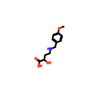 COc1ccc(CNCCC(O)C(=O)O)cc1